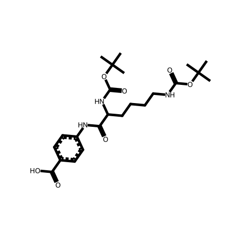 CC(C)(C)OC(=O)NCCCCC(NC(=O)OC(C)(C)C)C(=O)Nc1ccc(C(=O)O)cc1